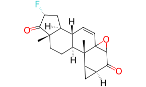 C[C@]12CC[C@H]3[C@@H](C=CC45OC4C(=O)[C@H]4CC4[C@]35C)[C@@H]1C[C@@H](F)C2=O